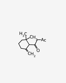 C=C1CCCC(C)(C)C1C(=O)CC(C)=O